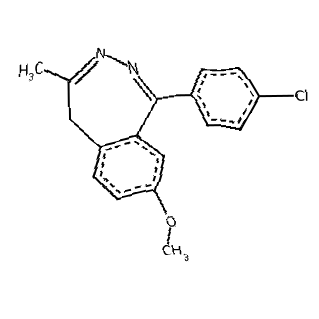 COc1ccc2c(c1)C(c1ccc(Cl)cc1)=NN=C(C)C2